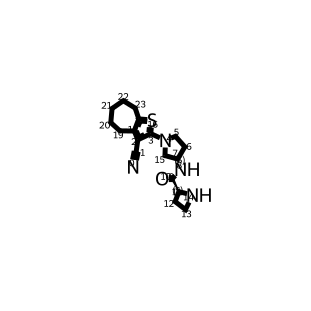 N#Cc1c(N2CC[C@H](NC(=O)[C@@H]3CCN3)C2)sc2c1CCCCC2